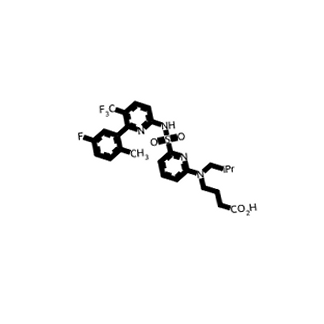 Cc1ccc(F)cc1-c1nc(NS(=O)(=O)c2cccc(N(CCCC(=O)O)CC(C)C)n2)ccc1C(F)(F)F